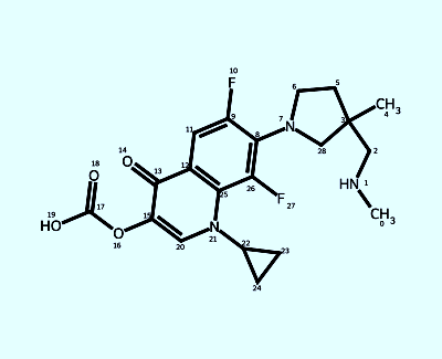 CNCC1(C)CCN(c2c(F)cc3c(=O)c(OC(=O)O)cn(C4CC4)c3c2F)C1